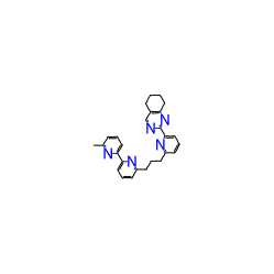 Cc1cccc(-c2cccc(CCCc3cccc(-c4ncc5c(n4)CCCC5)n3)n2)n1